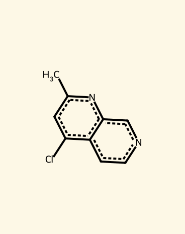 Cc1cc(Cl)c2ccncc2n1